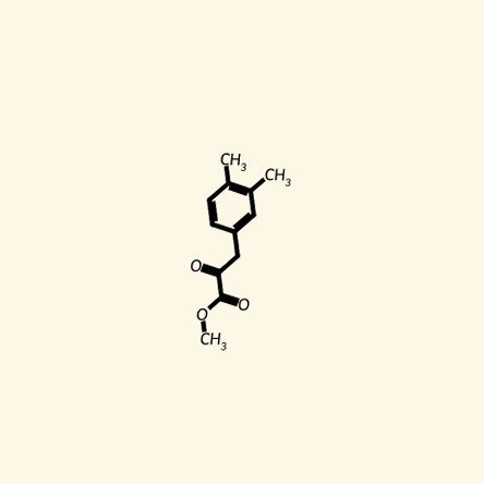 COC(=O)C(=O)Cc1ccc(C)c(C)c1